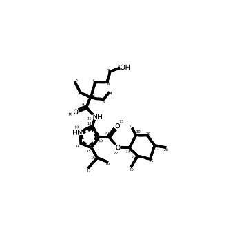 CCC(CC)(CCCO)C(=O)Nc1[nH]cc(C(C)C)c1C(=O)OC1C(C)CC(C)CC1C